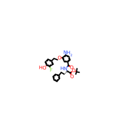 CC(C)(C)OC(=O)[C@H](CCc1ccccc1)NC(=O)c1ccc(N)c(OCCc2ccc(O)c(F)c2)c1